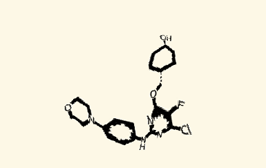 O[C@H]1CC[C@H](COc2nc(Nc3ccc(N4CCOCC4)cc3)nc(Cl)c2F)CC1